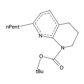 CCCCCc1ccc2c(n1)N(C(=O)OC(C)(C)C)CCC2